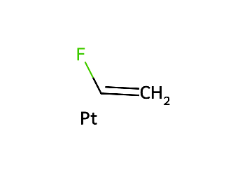 C=CF.[Pt]